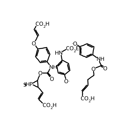 O=C(O)C=COc1ccc(NC(=O)OC2C(C=CC(=O)O)[PH]2=S)cc1.[CH2]COC(=O)Nc1ccc([O])cc1.[O]c1ccc(NC(=O)OCCC=CC(=O)O)cc1